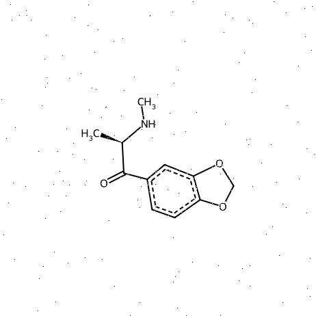 CN[C@H](C)C(=O)c1ccc2c(c1)OCO2